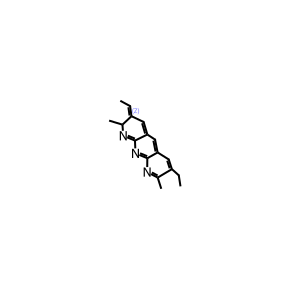 C/C=C1/C=c2cc3cc(CC)c(C)nc3nc2=NC1C